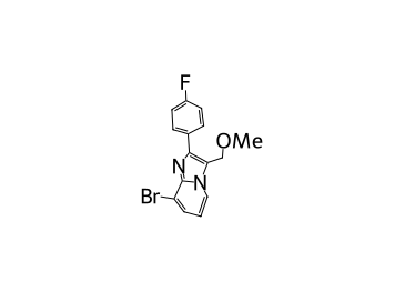 COCc1c(-c2ccc(F)cc2)nc2c(Br)cccn12